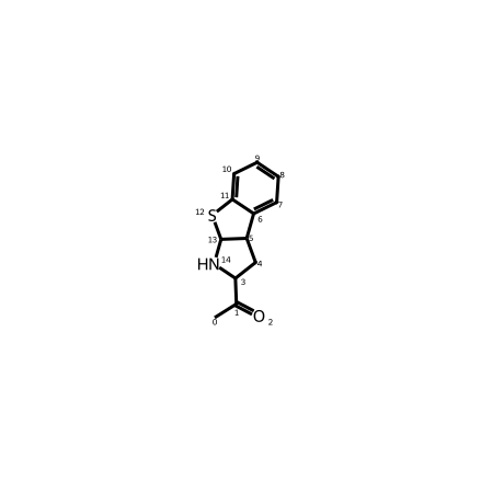 CC(=O)C1CC2c3ccccc3SC2N1